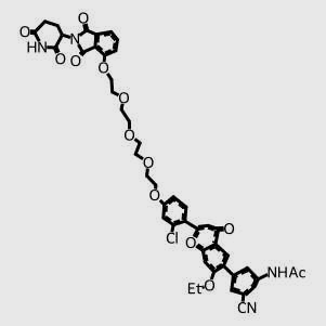 CCOc1cc2oc(-c3ccc(OCCOCCOCCOCCOc4cccc5c4C(=O)N(C4CCC(=O)NC4=O)C5=O)cc3Cl)cc(=O)c2cc1-c1cc(C#N)cc(NC(C)=O)c1